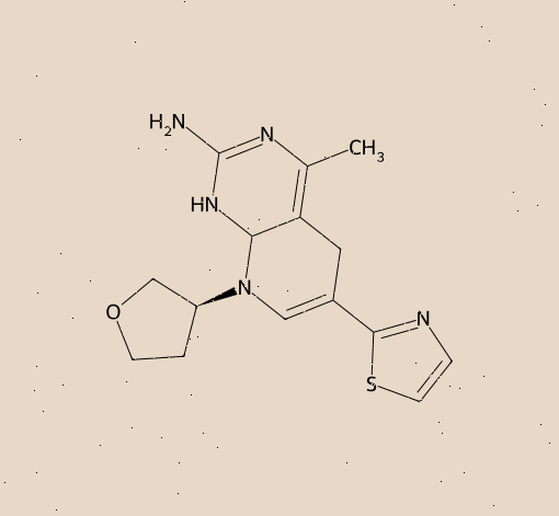 CC1=C2CC(c3nccs3)=CN([C@H]3CCOC3)C2NC(N)=N1